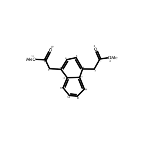 COC(=O)Cc1ccc(CC(=O)OC)c2ccccc12